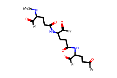 CSNC(CCC(=O)NC(CCC(=O)NC(CCC(=O)C(C)C)C(=O)C(C)C)C(=O)C(C)C)C(=O)C(C)C